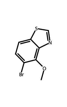 COc1c(Br)ccc2scnc12